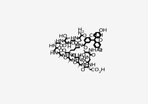 CC(=O)N[C@@H](C(=O)NCC(=O)N[C@H](CC(=O)O)C(=O)N[C@H](C)C(=O)N[C@H](C)C(=O)N[C@H](C)C(=O)N[C@H](CCCCNC(=O)c1ccc(C(=O)O)c(-c2c3ccc(=O)cc-3oc3cc(O)ccc23)c1)C(=O)N[C@H](C)C(=O)N[C@H](C)C(=O)N[C@H](C)C(=O)N[C@@H](C(=O)NCC(=O)N[C@H](CC(=O)O)C(N)=O)[C@H](C)O)[C@H](C)O